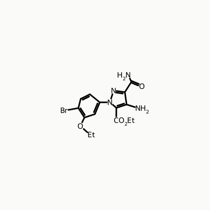 CCOC(=O)c1c(N)c(C(N)=O)nn1-c1ccc(Br)c(OCC)c1